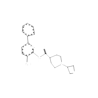 Nc1ccc(-c2ccccc2)nc1NC(=O)C1CCN(C2COC2)CC1